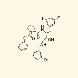 CCc1cccc(CNC[C@@H](O)[C@H](Cc2cc(F)cc(F)c2)NC(=O)C2CCCN2C(=O)Oc2ccccc2)c1